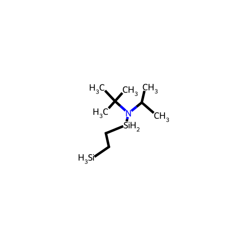 CC(C)N([SiH2]CC[SiH3])C(C)(C)C